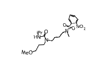 COCCCN(CCCCN(C)S(=O)(=O)c1ccccc1[N+](=O)[O-])C(=O)NC(C)C